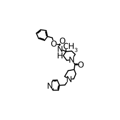 CC1(NC(=O)OCc2ccccc2)CCN(C(=O)C2CCN(Cc3ccncc3)CC2)CC1